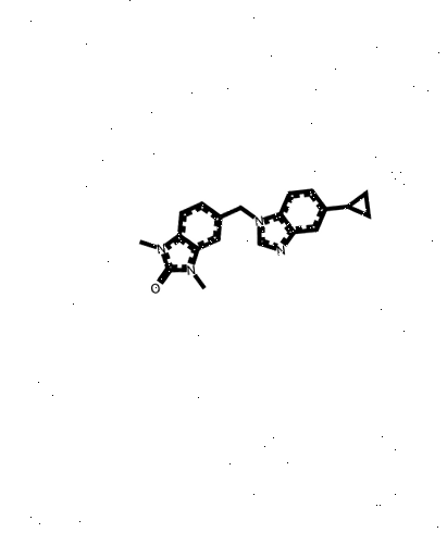 Cn1c(=O)n(C)c2cc(Cn3cnc4cc(C5CC5)ccc43)ccc21